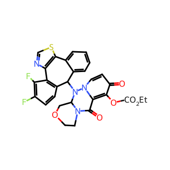 CCOC(=O)Oc1c2n(ccc1=O)N(C1c3ccccc3-c3scnc3-c3c1ccc(F)c3F)C1COCCN1C2=O